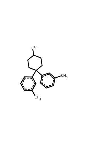 CCCC1CCC(c2cccc(C)c2)(c2cccc(C)c2)CC1